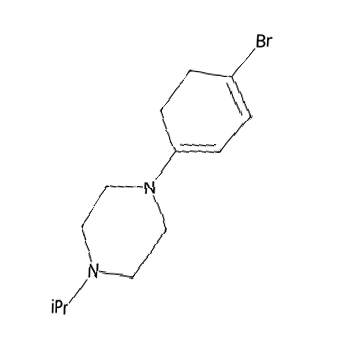 CC(C)N1CCN(C2=CC=C(Br)CC2)CC1